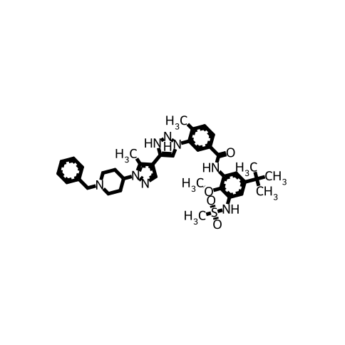 COc1c(NC(=O)c2ccc(C)c(N3C=C(c4cnn(C5CCN(Cc6ccccc6)CC5)c4C)NN3)c2)cc(C(C)(C)C)cc1NS(C)(=O)=O